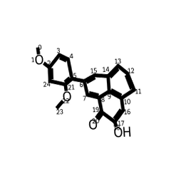 COc1ccc(-c2cc3c4c(cccc4c2)C=C(O)C3=O)c(OC)c1